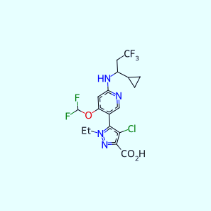 CCn1nc(C(=O)O)c(Cl)c1-c1cnc(NC(CC(F)(F)F)C2CC2)cc1OC(F)F